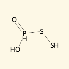 O=[PH](O)SS